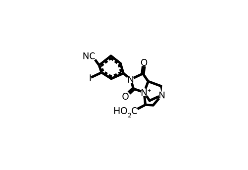 N#Cc1ccc(N2C(=O)C3C[N@@]4CC(C(=O)O)[N+]3(C4)C2=O)cc1I